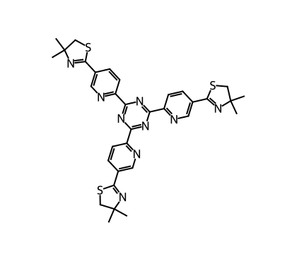 CC1(C)CSC(c2ccc(-c3nc(-c4ccc(C5=NC(C)(C)CS5)cn4)nc(-c4ccc(C5=NC(C)(C)CS5)cn4)n3)nc2)=N1